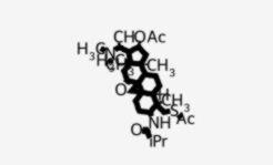 CC(=O)O[C@@H]1C[C@@]2(C)C3CC[C@@H]4C5(CCC(NC(=O)C(C)C)[C@@]4(C)CSC(C)=O)CC35C(=O)CC2(C)C1[C@H](C)N(C)C